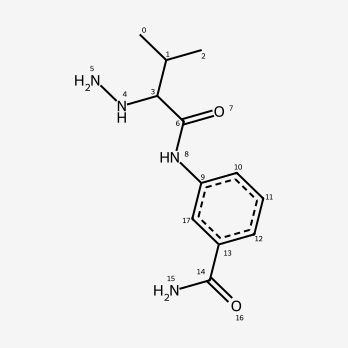 CC(C)C(NN)C(=O)Nc1cccc(C(N)=O)c1